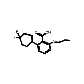 CCCOc1cccc(C2CCC(F)(F)CC2)c1C(=O)O